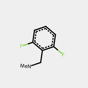 CNCc1c(F)cccc1F